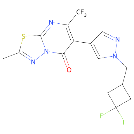 Cc1nn2c(=O)c(-c3cnn(CC4CC(F)(F)C4)c3)c(C(F)(F)F)nc2s1